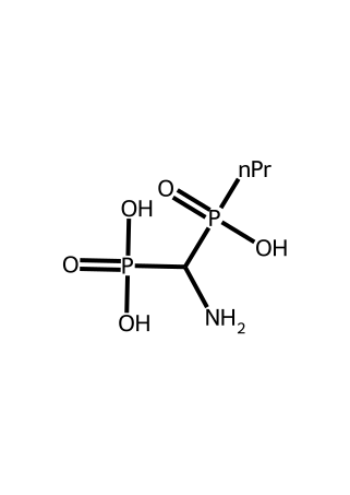 CCCP(=O)(O)C(N)P(=O)(O)O